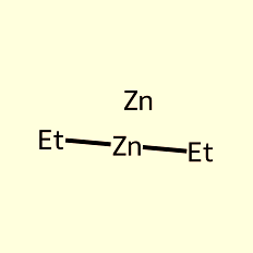 C[CH2][Zn][CH2]C.[Zn]